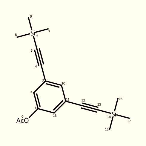 CC(=O)Oc1cc(C#C[Si](C)(C)C)cc(C#C[Si](C)(C)C)c1